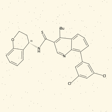 CCC(C)c1c(C(=S)N[C@H]2CCOc3ccccc32)cnc2c(-c3cc(Cl)cc(Cl)c3)cccc12